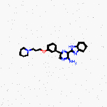 Nc1ncc(-c2cccc(OCCCN3CCCCC3)c2)nc1-c1nc2ccccc2[nH]1